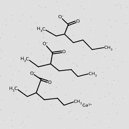 CCCCC(CC)C(=O)[O-].CCCCC(CC)C(=O)[O-].CCCCC(CC)C(=O)[O-].[Ga+3]